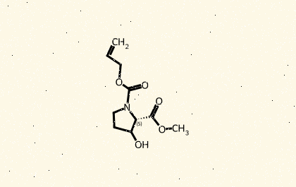 C=CCOC(=O)N1CCC(O)[C@H]1C(=O)OC